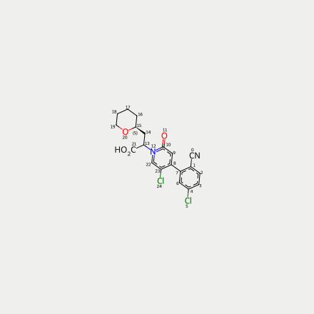 N#Cc1ccc(Cl)cc1-c1cc(=O)n(C(C[C@@H]2CCCCO2)C(=O)O)cc1Cl